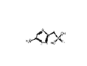 Nc1cnc(CP(=O)(O)O)cn1